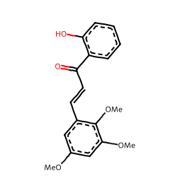 COc1cc(C=CC(=O)c2ccccc2O)c(OC)c(OC)c1